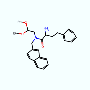 CCOC(CN(Cc1ccc2ccccc2c1)C(=O)C(N)CCc1ccccc1)OCC